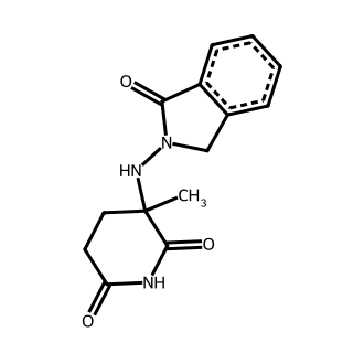 CC1(NN2Cc3ccccc3C2=O)CCC(=O)NC1=O